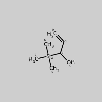 C=CC(O)[Si](C)(C)C